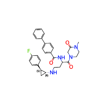 CN1CCN(C(=O)C(CCN[C@@H]2C[C@H]2c2ccc(F)cc2)NC(=O)c2ccc(-c3ccccc3)cc2)CC1=O